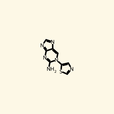 Nc1nc2ncnc-2cn1-c1cncs1